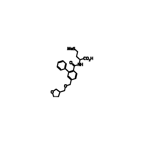 CSCCC(NC(=O)c1ccc(COCC2CCOC2)cc1-c1ccccc1)C(=O)O